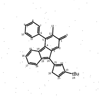 C=c1[c]c2c(c(-c3ccccc3)c1C)=c1ccccc1=C2C1=CC(C(C)(C)C)=CC1